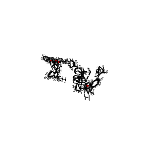 Cc1ncsc1-c1ccc(C(C)NC(=O)C2CCCN2C(=O)C(NC(=O)COCC2CCN(CCOc3nc(N4CC5CCC(C4)N5C(=O)OC(C)(C)C)c4cnc(-c5cc(O)cc6ccccc56)c(F)c4n3)CC2)C(C)(C)C)cc1